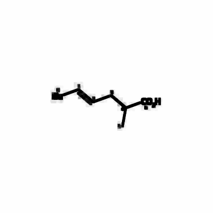 CCC(C)C=CCC(C)C(=O)O